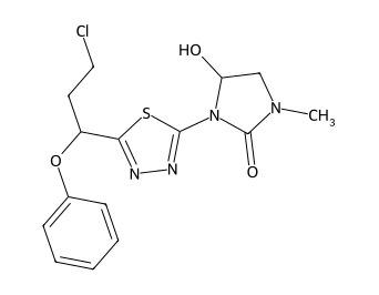 CN1CC(O)N(c2nnc(C(CCCl)Oc3ccccc3)s2)C1=O